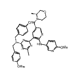 COc1ccc(CN(Cc2ccc(OC)cc2)c2nc(C)nc(-c3cc(CN4CCOC[C@@H]4C)cnc3Nc3ccc(OC)nc3)n2)cc1